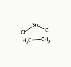 CC.[Cl][Sn][Cl]